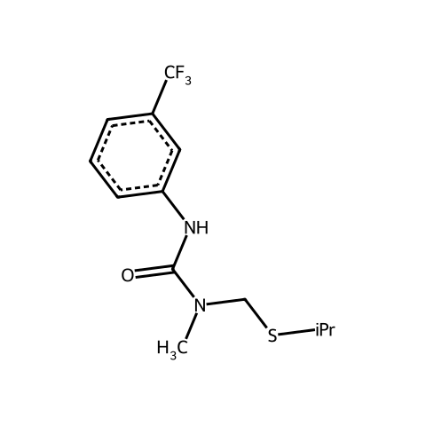 CC(C)SCN(C)C(=O)Nc1cccc(C(F)(F)F)c1